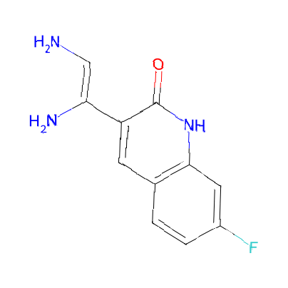 N/C=C(\N)c1cc2ccc(F)cc2[nH]c1=O